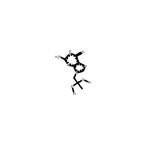 CCOC(C)(Cn1cnc2c(=O)[nH]c(N)nc21)OCC